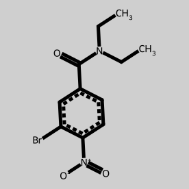 CCN(CC)C(=O)c1ccc([N+](=O)[O-])c(Br)c1